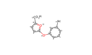 CC(=O)c1cccc(Oc2ccc(C(=O)O)o2)c1